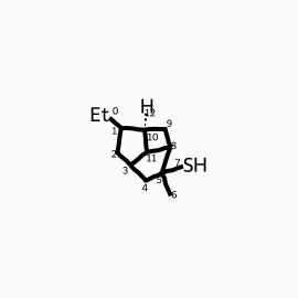 CCC1CC2CC(C)(S)C3C[C@H]1C23